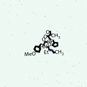 C=C/C=C(\CC)C(=O)N[C@@H](Cc1ccc(OC)cc1)C(=O)N[C@@H](CC1=CCCC1)C(=O)[C@@]1(C)CO1